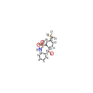 CN1c2ccccc2C(=O)c2ccc(S(C)(C)C)cc2S1(=O)=O